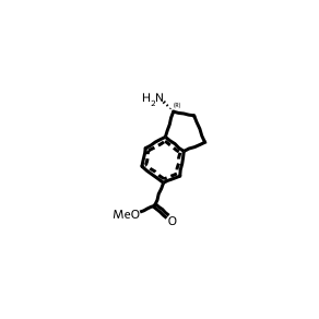 COC(=O)c1ccc2c(c1)CC[C@H]2N